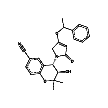 CC(OC1=CC(=O)N([C@H]2c3cc(C#N)ccc3OC(C)(C)[C@@H]2O)C1)c1ccccc1